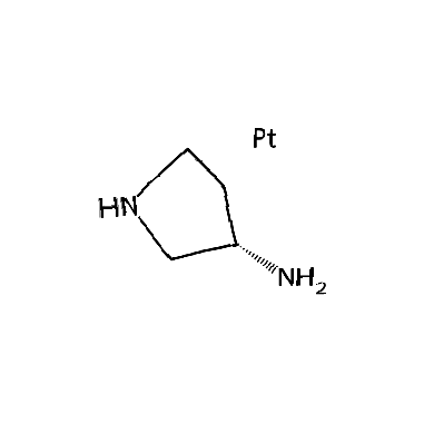 N[C@H]1CCNC1.[Pt]